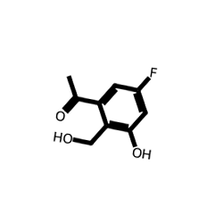 CC(=O)c1cc(F)cc(O)c1CO